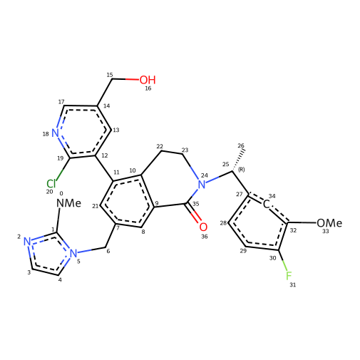 CNc1nccn1Cc1cc2c(c(-c3cc(CO)cnc3Cl)c1)CCN([C@H](C)c1ccc(F)c(OC)c1)C2=O